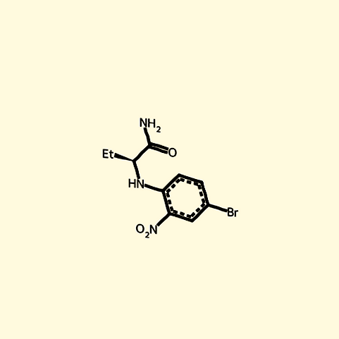 CC[C@H](Nc1ccc(Br)cc1[N+](=O)[O-])C(N)=O